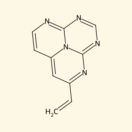 C=CC1=NC2=NC=NC3=NC=CC(=C1)N32